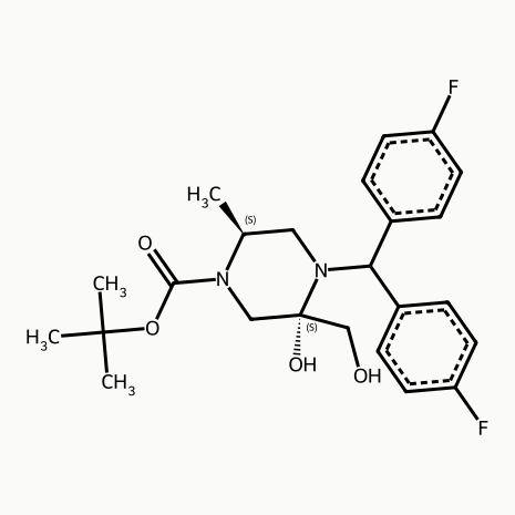 C[C@H]1CN(C(c2ccc(F)cc2)c2ccc(F)cc2)[C@@](O)(CO)CN1C(=O)OC(C)(C)C